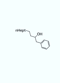 CCCCCCCCCC(O)Cc1ccccc1